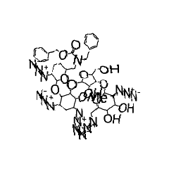 COC1C(N=[N+]=[N-])CC(N=[N+]=[N-])C(OC2OC(CN(Cc3ccccc3)C(=O)OCc3ccccc3)CCC2N=[N+]=[N-])C1OC1OC(CO)C(OC2OC(CN=[N+]=[N-])C(O)C(O)C2N=[N+]=[N-])C1O